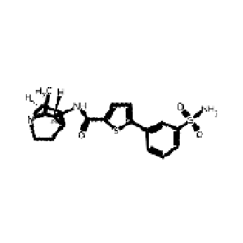 C[C@H]1[C@H](NC(=O)c2ccc(-c3cccc(S(N)(=O)=O)c3)s2)C2CCN1CC2